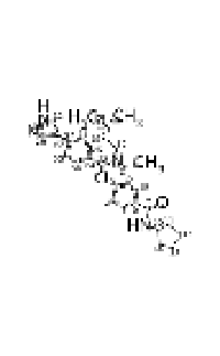 C[C@H](c1cccc(C(=O)NC2CCCC2)c1)N(CCN(C)C)C(=O)c1ccc(-c2cn[nH]c2)cc1